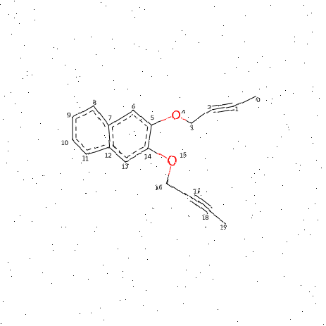 CC#CCOc1cc2ccccc2cc1OCC#CC